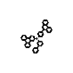 c1ccc(-c2cccc(N(c3ccc(-c4cc5ccccc5c5ccccc45)cc3)c3ccc4c5ccccc5c5ccccc5c4c3)c2)cc1